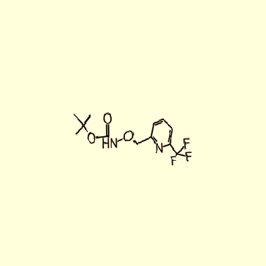 CC(C)(C)OC(=O)NOCc1cccc(C(F)(F)F)n1